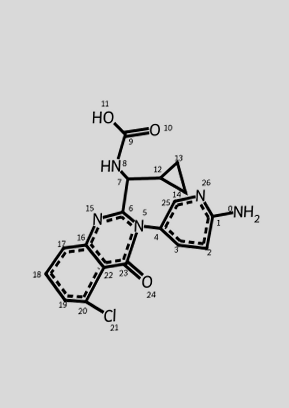 Nc1ccc(-n2c(C(NC(=O)O)C3CC3)nc3cccc(Cl)c3c2=O)cn1